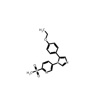 CCOc1ccc(-c2cncn2-c2ccc(S(C)(=O)=O)nc2)cc1